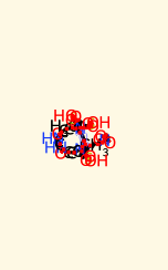 CC1(CCCCCC(=O)CN2C(=O)CCC2=O)C2=[N+](CCCCCC(=O)NCCNC(=O)CCCCCC3(C)/C(=C/C=C/C=C/2)N(CCCS(=O)(=O)O)c2ccc(S(=O)(=O)O)cc23)c2ccc(S(=O)(=O)O)cc21